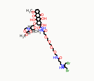 COc1cccc2c1C(=O)c1c(O)c3c(c(O)c1C2=O)C[C@@](O)(C(=O)NNC(=O)CCOCCOCCOCCOCCNC(=O)CCCn1[nH]c(CBr)c1CBr)C[C@@H]3O[C@H]1C[C@H]2[C@H](O[C@@H]3[C@@H](OC)OCCN32)[C@H](C)O1